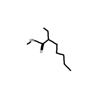 [CH2]CCCCC(CC)C(=O)NC